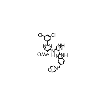 COc1cnc(-c2cc(Cl)cc(Cl)c2)nc1Nc1c[nH]nc1-c1nc2cc(CN3CCOCC3)ccc2[nH]1